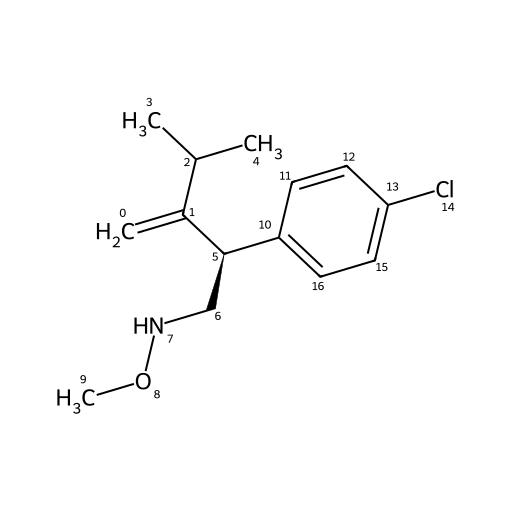 C=C(C(C)C)[C@H](CNOC)c1ccc(Cl)cc1